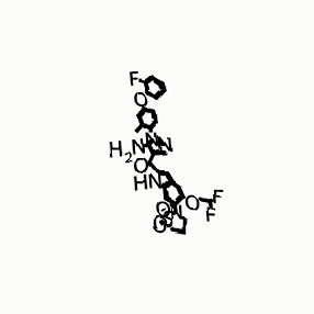 Cc1cc(Oc2ccccc2F)ccc1-n1ncc(C(=O)c2cc3cc(OCC(F)F)c(N4CCCS4(=O)=O)cc3[nH]2)c1N